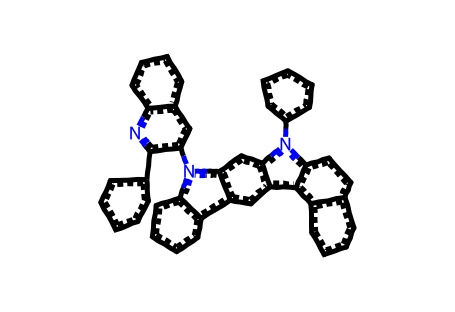 c1ccc(-c2nc3ccccc3cc2-n2c3ccccc3c3cc4c5c6ccccc6ccc5n(-c5ccccc5)c4cc32)cc1